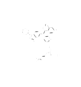 CN(C)C(=O)C=CCN(CCOc1ccc(C(=C(CC(F)(F)F)c2ccc(F)cc2Cl)c2ccc3c(c2)c(F)nn3C2CCCCO2)cn1)C(=O)O